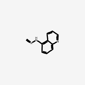 C=NNc1cccc2ncccc12